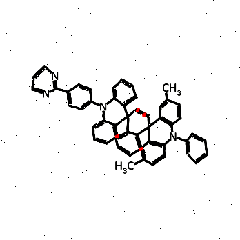 Cc1ccc2c(c1)C1(c3cc(C)ccc3N2c2ccccc2)c2ccccc2C2(c3ccccc3N(c3ccc(-c4ncccn4)cc3)c3ccccc32)c2ccccc21